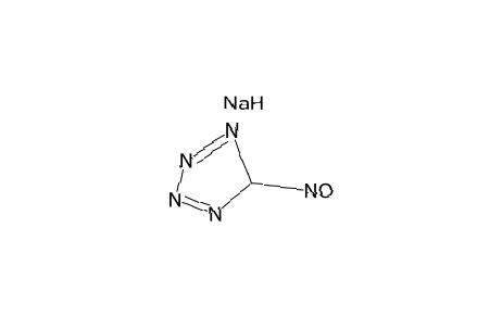 O=NC1N=NN=N1.[NaH]